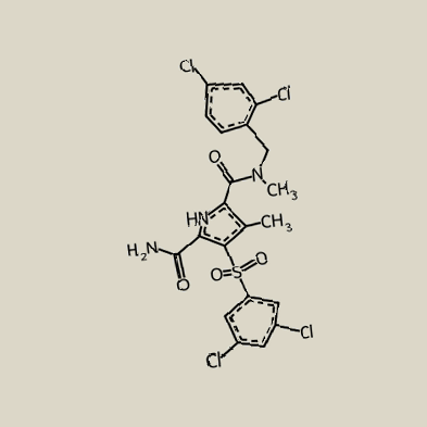 Cc1c(C(=O)N(C)Cc2ccc(Cl)cc2Cl)[nH]c(C(N)=O)c1S(=O)(=O)c1cc(Cl)cc(Cl)c1